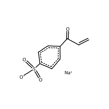 C=CC(=O)c1ccc(S(=O)(=O)[O-])cc1.[Na+]